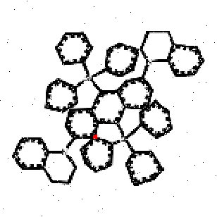 c1ccc([Si](c2ccccc2)(c2ccccc2)c2c3ccc(N4CCCc5ccccc54)cc3c([Si](c3ccccc3)(c3ccccc3)c3ccccc3)c3ccc(N4CCCc5ccccc54)cc23)cc1